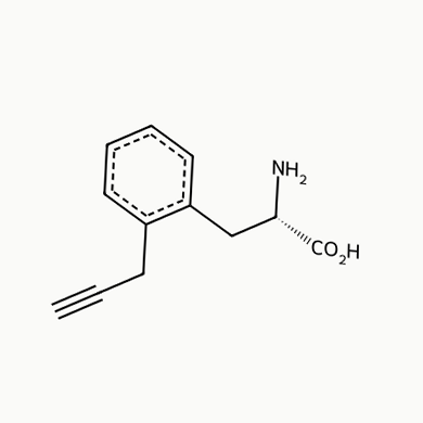 C#CCc1ccccc1C[C@H](N)C(=O)O